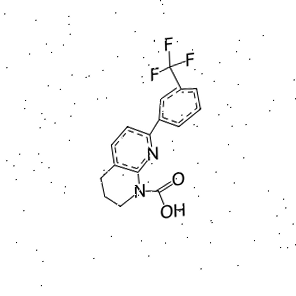 O=C(O)N1CCCc2ccc(-c3cccc(C(F)(F)F)c3)nc21